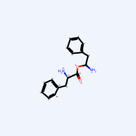 NC(Cc1ccccc1)OC(=O)[C@H](N)Cc1ccccc1